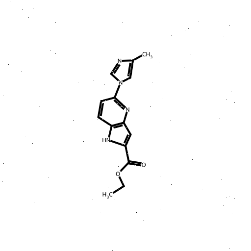 CCOC(=O)c1cc2nc(-n3cnc(C)c3)ccc2[nH]1